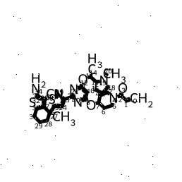 C=CC(=O)N1CCC(Oc2cc(O[C@@H](C)[C@@H]3CCCN3C)nc(-c3cc([C@@]4(C)CCCc5sc(N)c(C#N)c54)sn3)n2)CC1